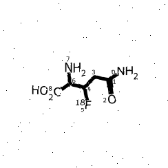 NC(=O)CC([18F])C(N)C(=O)O